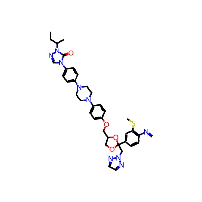 C=Nc1ccc(C2(Cn3nccn3)OCC(COc3ccc(N4CCN(c5ccc(-n6cnn(C(C)CC)c6=O)cc5)CC4)cc3)O2)cc1SC